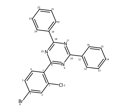 Clc1cc(Br)ccc1-c1nc(-c2ccccc2)nc(-c2ccccc2)n1